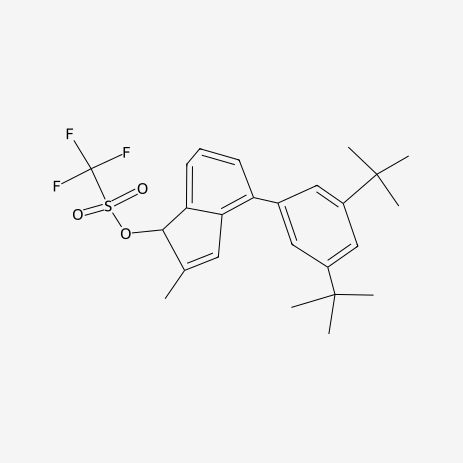 CC1=Cc2c(-c3cc(C(C)(C)C)cc(C(C)(C)C)c3)cccc2C1OS(=O)(=O)C(F)(F)F